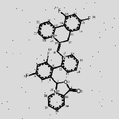 O=C1OC(c2cc(F)cc(F)c2-c2cccc[n+]2C=C2Cc3cc(F)cc(F)c3-c3cccc[n+]32)[n+]2ccccc21